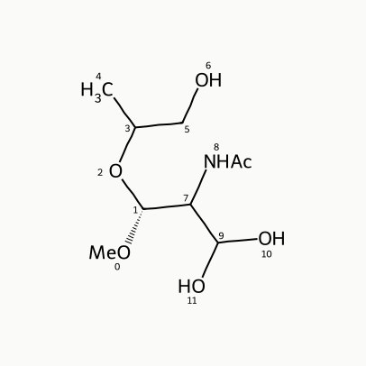 CO[C@H](OC(C)CO)C(NC(C)=O)C(O)O